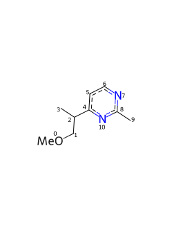 COCC(C)c1ccnc(C)n1